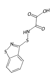 O=C(O)C(=O)NSc1nsc2ccccc12